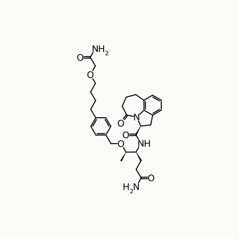 C[C@@H](OCc1ccc(CCCCOCC(N)=O)cc1)[C@H](CCC(N)=O)NC(=O)[C@@H]1Cc2cccc3c2N1C(=O)CCC3